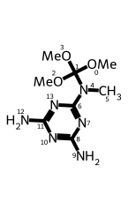 COC(OC)(OC)N(C)c1nc(N)nc(N)n1